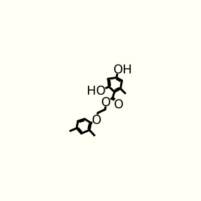 Cc1ccc(OCCOC(=O)c2c(C)cc(O)cc2O)c(C)c1